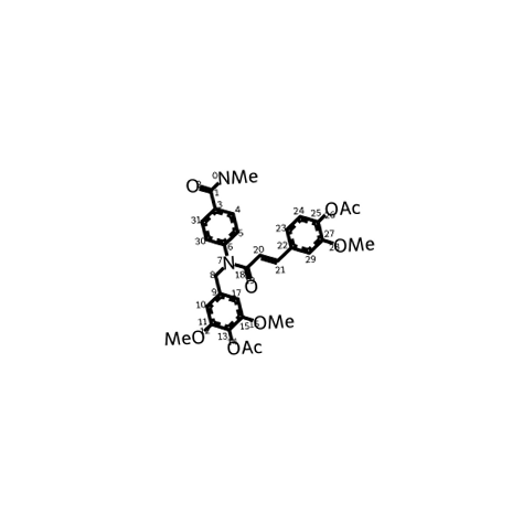 CNC(=O)c1ccc(N(Cc2cc(OC)c(OC(C)=O)c(OC)c2)C(=O)/C=C/c2ccc(OC(C)=O)c(OC)c2)cc1